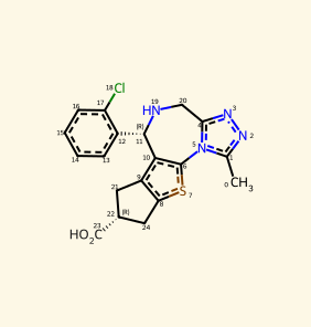 Cc1nnc2n1-c1sc3c(c1[C@H](c1ccccc1Cl)NC2)C[C@@H](C(=O)O)C3